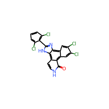 O=c1[nH]ccc2c3[nH]c(-c4c(Cl)cccc4Cl)nc3c3cc(Cl)c(Cl)cc3c12